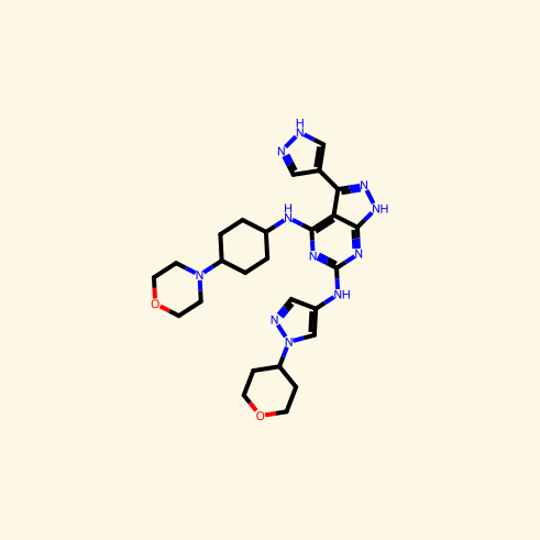 c1nn(C2CCOCC2)cc1Nc1nc(NC2CCC(N3CCOCC3)CC2)c2c(-c3cn[nH]c3)n[nH]c2n1